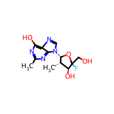 Cc1nc(O)c2ncn([C@@H]3O[C@](F)(CO)[C@@H](O)[C@@H]3C)c2n1